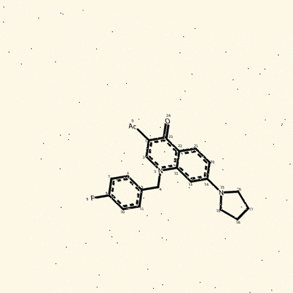 CC(=O)c1cn(Cc2ccc(F)cc2)c2cc(N3CCCC3)ccc2c1=O